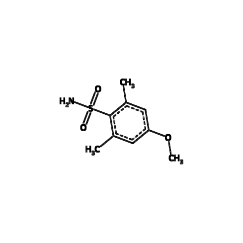 COc1cc(C)c(S(N)(=O)=O)c(C)c1